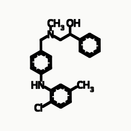 Cc1ccc(Cl)c(Nc2ccc(CN(C)CC(O)c3ccccc3)cc2)c1